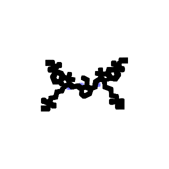 CCC1=C(/C=C/C2=[N+](CCCCS(=O)(=O)O)c3ccc(S(=O)(=O)O)cc3C2(C)C)CCC/C1=C\C=C1\N(CCCCS(=O)(=O)O)c2ccc(S(=O)(=O)O)cc2C1(C)C